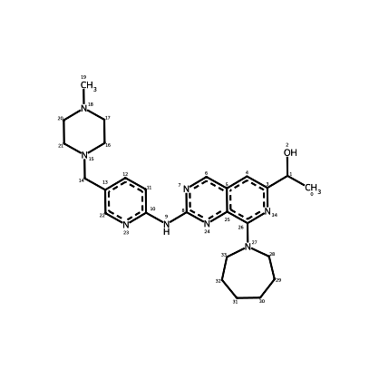 CC(O)c1cc2cnc(Nc3ccc(CN4CCN(C)CC4)cn3)nc2c(N2CCCCCC2)n1